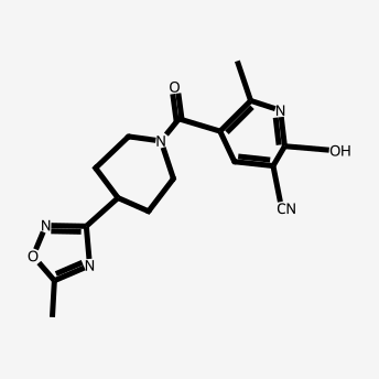 Cc1nc(C2CCN(C(=O)c3cc(C#N)c(O)nc3C)CC2)no1